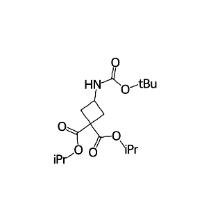 CC(C)OC(=O)C1(C(=O)OC(C)C)CC(NC(=O)OC(C)(C)C)C1